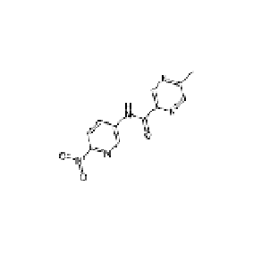 Cc1cnc(C(=O)Nc2ccc([N+](=O)[O-])nc2)cn1